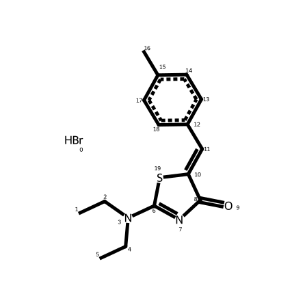 Br.CCN(CC)C1=NC(=O)C(=Cc2ccc(C)cc2)S1